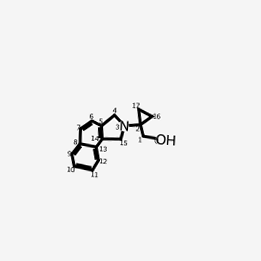 OCC1(N2Cc3ccc4ccccc4c3C2)CC1